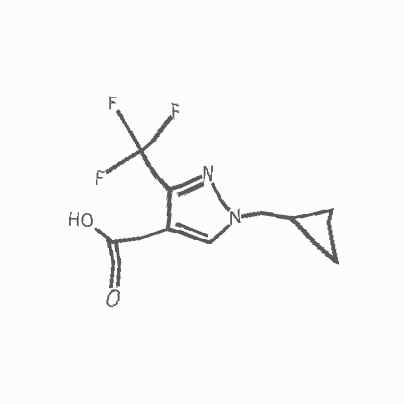 O=C(O)c1cn(C2CC2)nc1C(F)(F)F